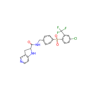 O=C(NCc1ccc(S(=O)(=O)c2ccc(Cl)cc2C(F)(F)F)cc1)C1Cc2cnccc2N1